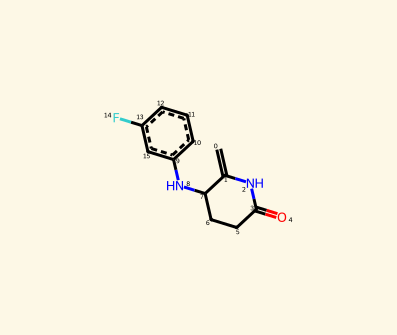 C=C1NC(=O)CCC1Nc1cccc(F)c1